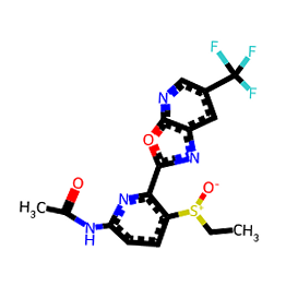 CC[S+]([O-])c1ccc(NC(C)=O)nc1-c1nc2cc(C(F)(F)F)cnc2o1